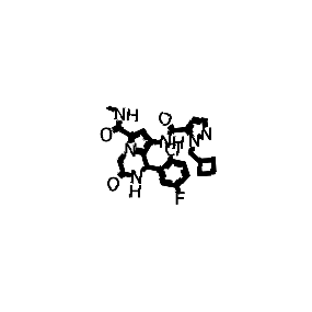 CNC(=O)c1cc(NC(=O)c2ccnn2CC2CCC2)c2n1CC(=O)NC2c1cc(F)ccc1Cl